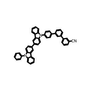 N#Cc1cccc(-c2cccc(-c3ccc(-n4c5ccccc5c5cc(-c6ccc7c(c6)c6ccccc6n7-c6ccccc6)ccc54)cc3)c2)c1